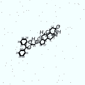 C[C@]12CCC3C(CC[C@H]4NC(=O)CC[C@]34C)C1CC[C@@H]2OCC(=O)OC(c1ccccc1)c1ccccc1